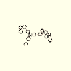 C1=CC(c2ccc(N(c3ccc(-c4ccccc4)cc3)c3ccc(-c4ccc5c(c4)oc4ccc6nc(-c7ccccc7)oc6c45)cc3)cc2)C2C(=C1)Oc1ccccc12